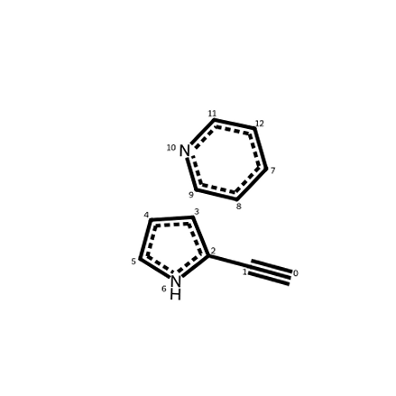 C#Cc1ccc[nH]1.c1ccncc1